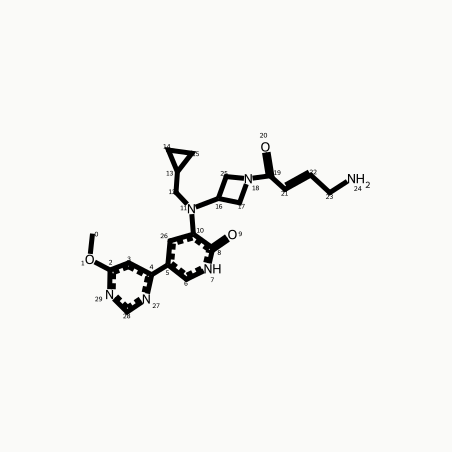 COc1cc(-c2c[nH]c(=O)c(N(CC3CC3)C3CN(C(=O)/C=C/CN)C3)c2)ncn1